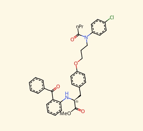 CCCC(=O)N(CCCOc1ccc(C[C@H](Nc2ccccc2C(=O)c2ccccc2)C(=O)OC)cc1)c1ccc(Cl)cc1